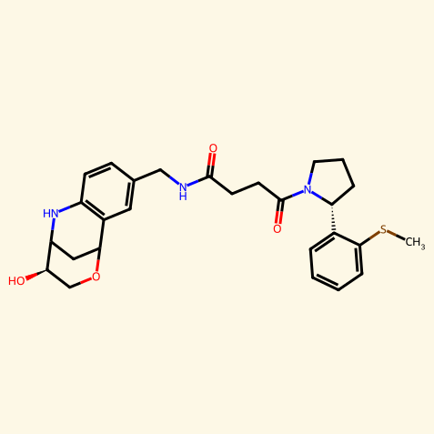 CSc1ccccc1[C@H]1CCCN1C(=O)CCC(=O)NCc1ccc2c(c1)C1CC(N2)[C@H](O)CO1